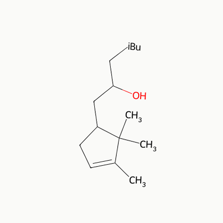 CCC(C)CC(O)CC1CC=C(C)C1(C)C